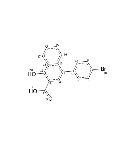 O=C(O)c1cc(-c2ccc(Br)cc2)c2ccccc2c1O